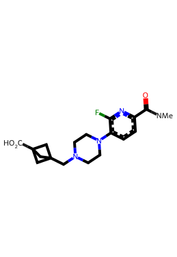 CNC(=O)c1ccc(N2CCN(CC34CC(C(=O)O)(C3)C4)CC2)c(F)n1